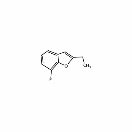 CCc1cc2cccc(F)c2o1